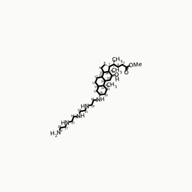 COC(=O)CC[C@@H](C)[C@H]1CCC2C3CCC4C[C@@H](NCCNCCNCCNCCN)CC[C@]4(C)C3C[C@H](O)[C@@]21C